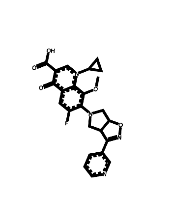 COc1c(N2CC3ON=C(c4cccnc4)C3C2)c(F)cc2c(=O)c(C(=O)O)cn(C3CC3)c12